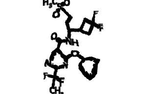 CC(F)(F)c1ncc(C(=O)NC(C=CS(C)(=O)=O)C2CC(F)(F)C2)c(Oc2ccccc2)n1